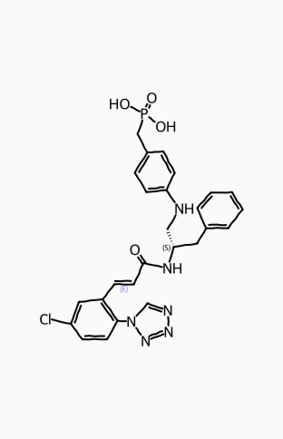 O=C(/C=C/c1cc(Cl)ccc1-n1cnnn1)N[C@H](CNc1ccc(CP(=O)(O)O)cc1)Cc1ccccc1